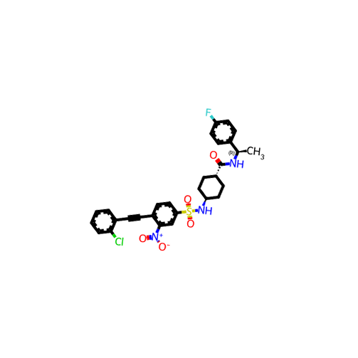 C[C@@H](NC(=O)[C@H]1CC[C@H](NS(=O)(=O)c2ccc(C#Cc3ccccc3Cl)c([N+](=O)[O-])c2)CC1)c1ccc(F)cc1